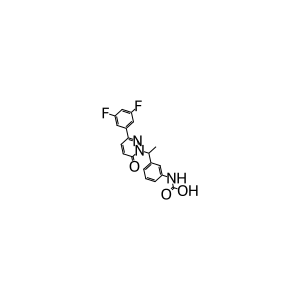 CC(c1cccc(NC(=O)O)c1)n1nc(-c2cc(F)cc(F)c2)ccc1=O